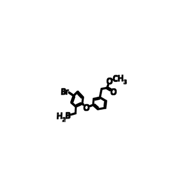 BCc1cc(Br)ccc1Oc1cccc(CC(=O)OC)c1